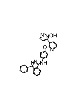 ON1CN=CC=C1c1cccnc1Oc1ccc(Nc2nnc(-c3ccccc3)c3ccccc23)cc1